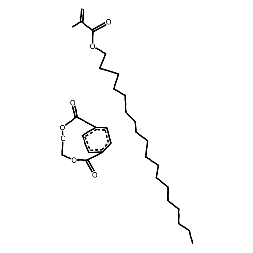 C=C(C)C(=O)OCCCCCCCCCCCCCCCCCC.O=C1OCCOC(=O)c2ccc1cc2